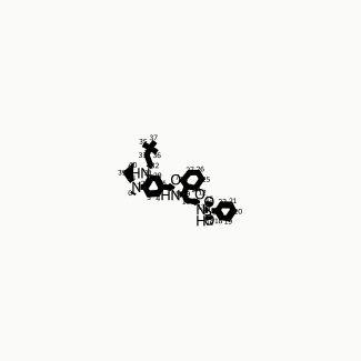 CN(c1ccc(C(=O)NC(CC(=O)NS(=O)(=O)c2ccccc2)C2CCCCC2)cc1NCCC(C)(C)C)C1CC1